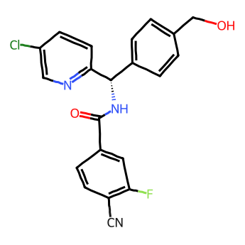 N#Cc1ccc(C(=O)N[C@@H](c2ccc(CO)cc2)c2ccc(Cl)cn2)cc1F